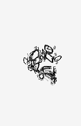 COc1cc(OC)nc(Sc2cccc(Cl)c2C(=O)O/N=C(\C)c2ccc#cc2C(F)(F)F)n1